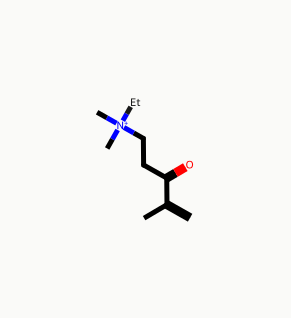 C=C(C)C(=O)CC[N+](C)(C)CC